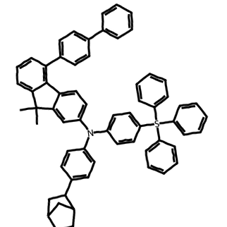 CC1(C)c2cc(N(c3ccc(C4CC5CCC4C5)cc3)c3ccc(S(c4ccccc4)(c4ccccc4)c4ccccc4)cc3)ccc2-c2c(-c3ccc(-c4ccccc4)cc3)cccc21